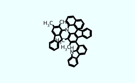 Cc1cc2c(c(N(c3c(C)c(C)c(-c4cccc5c4[nH]c4ccccc45)c4c3Cc3ccccc3-4)c3cccc4ccccc34)c1C)Cc1ccccc1-2